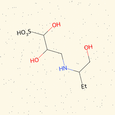 CCC(CO)NCC(O)C(O)S(=O)(=O)O